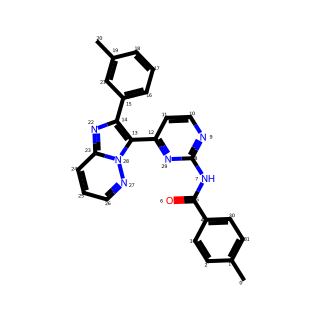 Cc1ccc(C(=O)Nc2nccc(-c3c(-c4cccc(C)c4)nc4cccnn34)n2)cc1